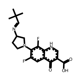 CC(C)(C)C=NC1CCN(c2c(F)cc3c(=O)c(C(=O)O)c[nH]c3c2F)C1